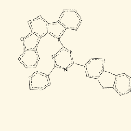 c1ccc(-c2nc(-c3ccc4c(c3)Cc3ccccc3-4)nc(-n3c4ccccc4c4ccc5oc6ccccc6c5c43)n2)cc1